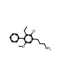 CCc1c(Cl)c(CCCN)cc(OC)c1-c1ccccc1